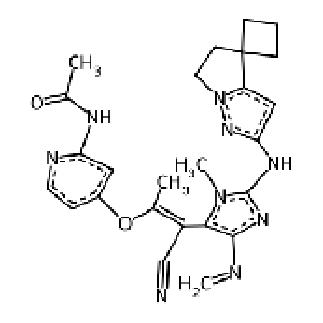 C=Nc1nc(Nc2cc3n(n2)CCC32CCC2)n(C)c1/C(C#N)=C(\C)Oc1ccnc(NC(C)=O)c1